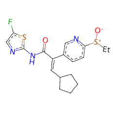 CC[S+]([O-])c1ccc(/C(=C\C2CCCC2)C(=O)Nc2ncc(F)s2)cn1